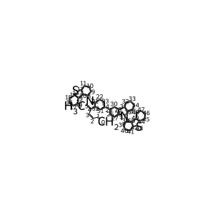 C=C/C=C\c1c(C)n(-c2cccc3sc4ccccc4c23)c2ccc(-c3ccc4c(c3)c3ccccc3n4-c3cccc4sc5ccccc5c34)cc12